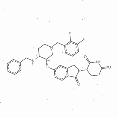 O=C1CCC(N2Cc3cc(O[C@@H]4CN(Cc5cccc(F)c5F)CC[C@H]4NCc4ccccc4)ccc3C2=O)C(=O)N1